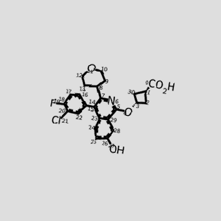 O=C(O)[C@H]1C[C@H](Oc2nc(C3CCOCC3)c(-c3ccc(F)c(Cl)c3)c3ccc(O)cc23)C1